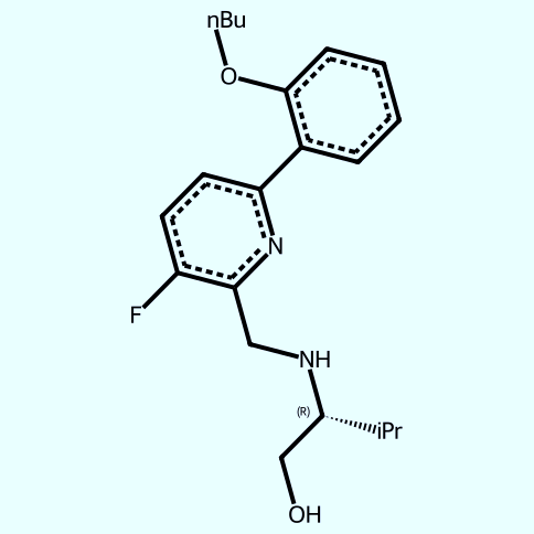 CCCCOc1ccccc1-c1ccc(F)c(CN[C@@H](CO)C(C)C)n1